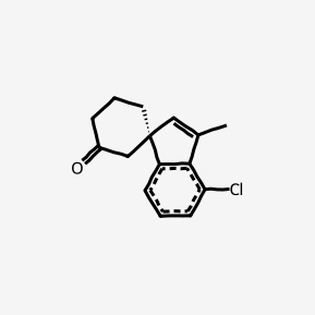 CC1=C[C@@]2(CCCC(=O)C2)c2cccc(Cl)c21